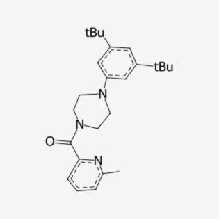 Cc1cccc(C(=O)N2CCN(c3cc(C(C)(C)C)cc(C(C)(C)C)c3)CC2)n1